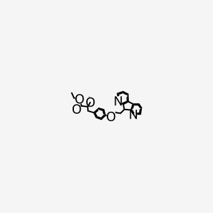 CCOC(=O)C(Cc1ccc(OCCC2c3ncccc3-c3cccnc32)cc1)OC